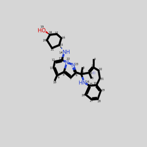 C/C1=C(/C)C(C)(c2cc3c(C)ccc(N[C@H]4CC[C@H](O)CC4)n3n2)Nc2ccccc2CC1